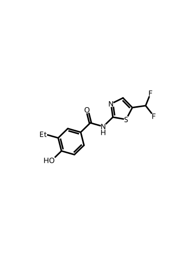 CCc1cc(C(=O)Nc2ncc(C(F)F)s2)ccc1O